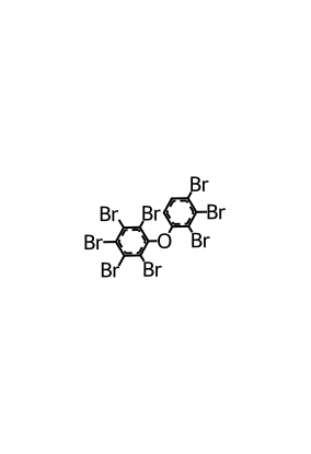 Brc1ccc(Oc2c(Br)c(Br)c(Br)c(Br)c2Br)c(Br)c1Br